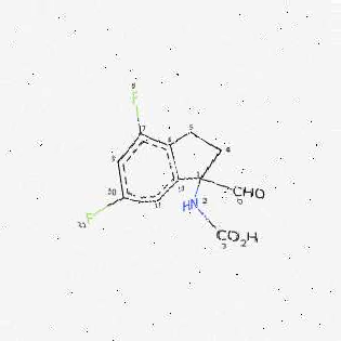 O=CC1(NC(=O)O)CCc2c(F)cc(F)cc21